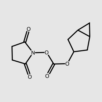 O=C(OC1CC2CC2C1)ON1C(=O)CCC1=O